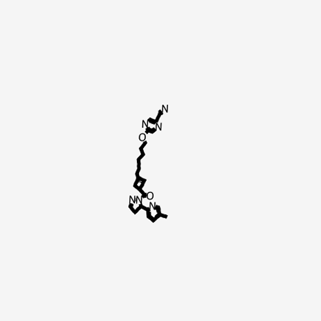 Cc1ccc(C2CC=NN2C(=O)C23CC(CCCCCCOc4cnc(C#N)cn4)(C2)C3)nc1